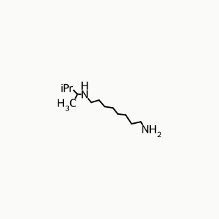 CC(C)C(C)NCCCCCCCCN